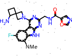 CNc1cc(F)cc2c1[nH]c1nc(CNC(=O)c3cnco3)nc(N3CC4(CCC4N)C3)c12